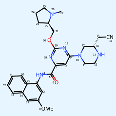 COc1cc(NC(=O)c2cc(N3CCN[C@@H](CC#N)C3)nc(OC[C@H]3CCCN3C)n2)c2ccccc2c1